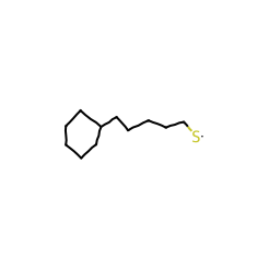 [S]CCCCCC1CCCCC1